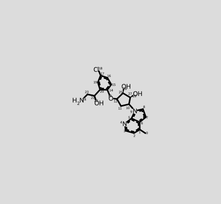 Cc1ccnc2c1ccn2C1CC(Oc2ccc(Cl)cc2C(O)CN)[C@@H](O)[C@H]1O